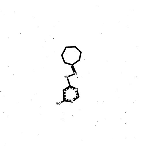 Oc1cc(NN=C2CCCCCC2)ncn1